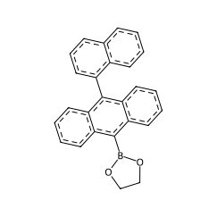 c1ccc2c(-c3c4ccccc4c(B4OCCO4)c4ccccc34)cccc2c1